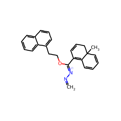 C=N/N=C(\OCCc1cccc2ccccc12)C1=C2C=CC=CC2(C)CC=C1